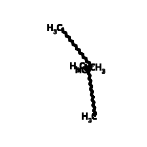 CCCCCCCCCCCCCCCCCCC(C)[N+](O)(CC)CCCCCCCCCCCCCCCCCC